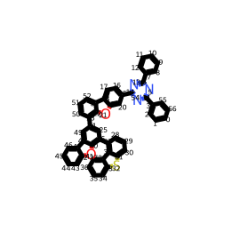 c1ccc(-c2nc(-c3ccccc3)nc(-c3ccc4c(c3)oc3c(-c5cc(-c6cccc7sc8ccccc8c67)c6oc7ccccc7c6c5)cccc34)n2)cc1